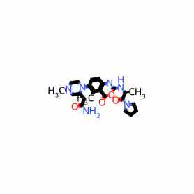 Cc1c(N2CCN(C)CC2CC(N)=O)ccc2nc(N[C@@H](C)C(=O)N3CCCC3)oc(=O)c12